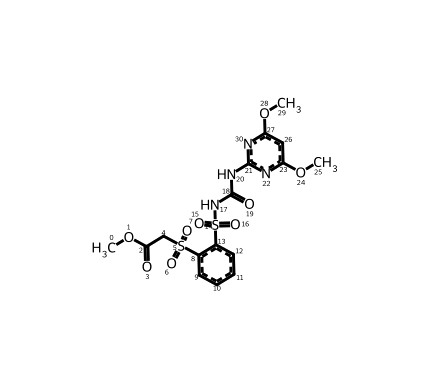 COC(=O)CS(=O)(=O)c1ccccc1S(=O)(=O)NC(=O)Nc1nc(OC)cc(OC)n1